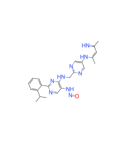 CC(=N)/C=C(/C)Nc1cnc(CNc2nc(-c3ccccc3C(C)C)ncc2NN=O)nc1